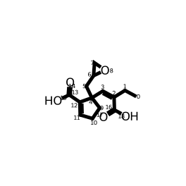 CCC(=CC1(CC2CO2)CCC=C1C(=O)O)C(=O)O